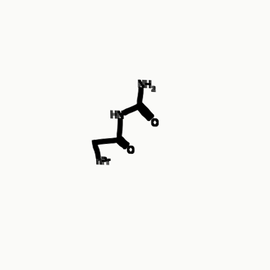 [CH2]CCCC(=O)NC(N)=O